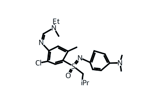 CCN(C)/C=N\c1cc(C)c(S(=O)(CC(C)C)=Nc2ccc(N(C)C)cc2)cc1Cl